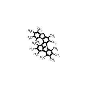 Cc1c(C)c(C)c2c(c1C)Cc1c(C)c(C)c3c(c1-2)c1c(C)c(C)c(C)c2c4c(C)c(C)c(C)c(C)c4n3c21